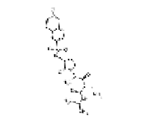 CC(C)NC(=O)[C@@H](CN)C(=O)C(C)N1CC[C@H](NS(=O)(=O)c2ccc3cc(Cl)ccc3c2)C1=O